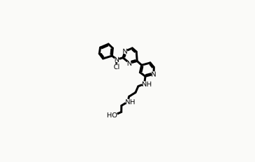 OCCNCCCNc1cc(-c2ccnc(N(Cl)c3ccccc3)n2)ccn1